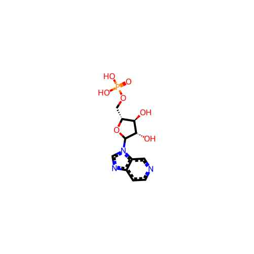 O=P(O)(O)OC[C@H]1OC(n2cnc3ccncc32)[C@@H](O)[C@@H]1O